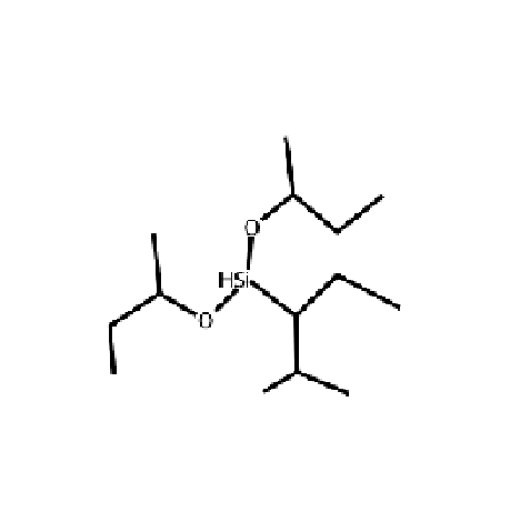 CCC(C)O[SiH](OC(C)CC)C(CC)C(C)C